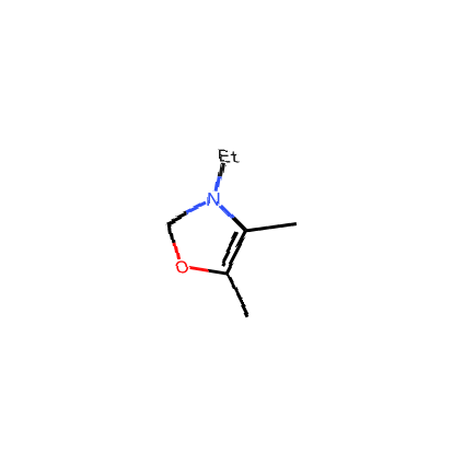 CCN1COC(C)=C1C